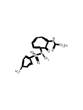 CCOC(=O)C(=O)Nc1ccccc(N(C)S(=O)(=O)c2ccc(C)cc2)c1=O